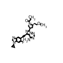 C=CC(=O)N1CC(c2nc(C#Cc3cc4ncn(C5CC5)c4cc3F)c3c(N)ncnn23)C[C@@H]1CCOC